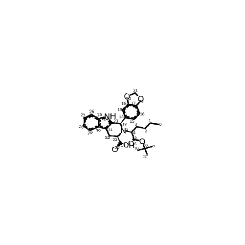 CCCCC(C(=O)OC(C)(C)C)N1[C@H](c2ccc3c(c2)OCO3)c2[nH]c3ccccc3c2C[C@@H]1C(=O)O